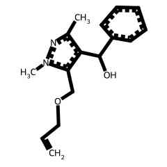 C=CCOCc1c(C(O)c2ccccc2)c(C)nn1C